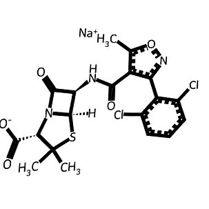 Cc1onc(-c2c(Cl)cccc2Cl)c1C(=O)N[C@@H]1C(=O)N2[C@@H]1SC(C)(C)[C@@H]2C(=O)[O-].[Na+]